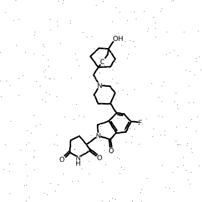 O=C1CCC(N2Cc3c(cc(F)cc3C3CCN(CC45CCC(O)(CC4)CC5)CC3)C2=O)C(=O)N1